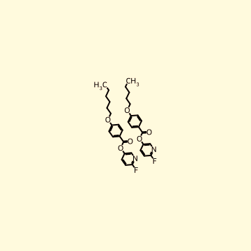 CCCCCCOc1ccc(C(=O)Oc2ccc(F)nc2)cc1.CCCCCOc1ccc(C(=O)Oc2ccc(F)nc2)cc1